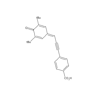 CC(C)(C)C1=CC(=CC#Cc2ccc(C(=O)O)cc2)C=C(C(C)(C)C)C1=O